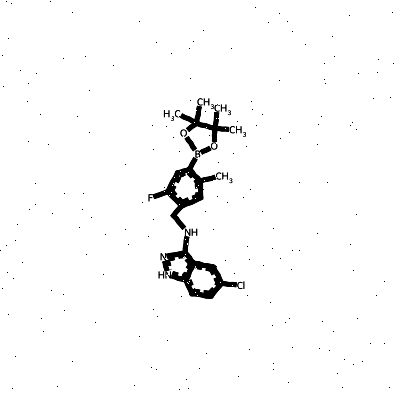 Cc1cc(CNc2n[nH]c3ccc(Cl)cc23)c(F)cc1B1OC(C)(C)C(C)(C)O1